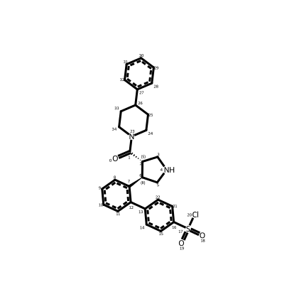 O=C([C@@H]1CNC[C@H]1c1ccccc1-c1ccc(S(=O)(=O)Cl)cc1)N1CCC(c2ccccc2)CC1